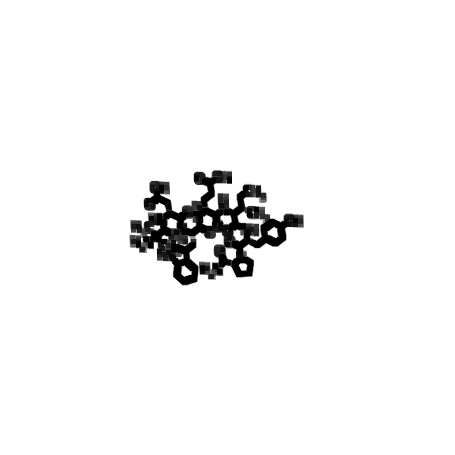 CC[C@H](C)[C@H](NC(=O)[C@H](CCC(=O)O)NC(=O)[C@H](Cc1c[nH]c2ccccc12)NC(=O)[C@H](CC(=O)O)NC(=O)C(C)(C)N)C(=O)N[C@@H](Cc1ccc(O)cc1)C(=O)N1CCC[C@H]1C(N)=O